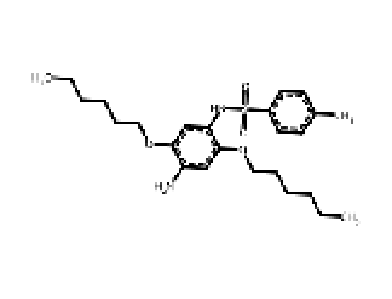 CCCCCCOc1cc(NS(=O)(=O)c2ccc(C)cc2)c(OCCCCCC)cc1N